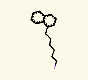 ICCCCCCc1cccc2ccccc12